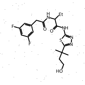 CCC(NC(=O)Cc1cc(F)cc(F)c1)C(=O)Nc1nnc(C(C)(C)CCO)s1